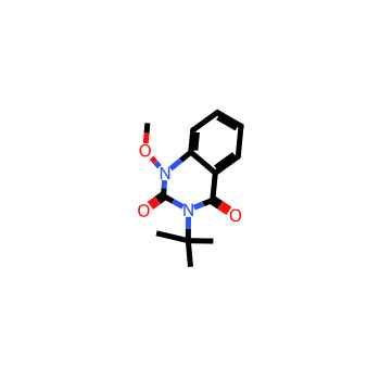 COn1c(=O)n(C(C)(C)C)c(=O)c2ccccc21